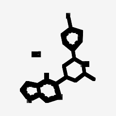 CC1CC(c2ncc3nccc-3[nH]2)CC(c2ccc(F)cc2)N1.Cl